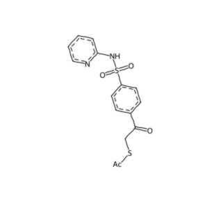 CC(=O)SCC(=O)c1ccc(S(=O)(=O)Nc2ccccn2)cc1